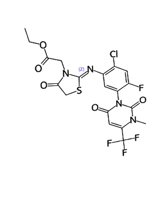 CCOC(=O)CN1C(=O)CS/C1=N\c1cc(-n2c(=O)cc(C(F)(F)F)n(C)c2=O)c(F)cc1Cl